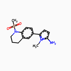 Cn1c(N)ccc1-c1ccc2c(c1)CCCN2S(C)(=O)=O